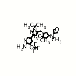 CC(C)n1nc(-c2cnc(N)c(OC(F)(F)F)c2)cc1C[C@@H]1CC(N(C)C2COC2)CC1(C)C